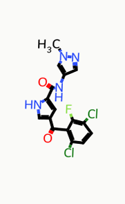 Cn1cc(NC(=O)c2cc(C(=O)c3c(Cl)ccc(Cl)c3F)c[nH]2)cn1